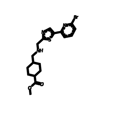 COC(=O)C1CCC(CNCc2ncc(-c3cccc(Br)n3)s2)CC1